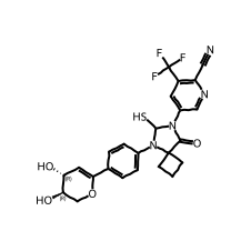 N#Cc1ncc(N2C(=O)C3(CCC3)N(c3ccc(C4=C[C@@H](O)[C@H](O)CO4)cc3)C2S)cc1C(F)(F)F